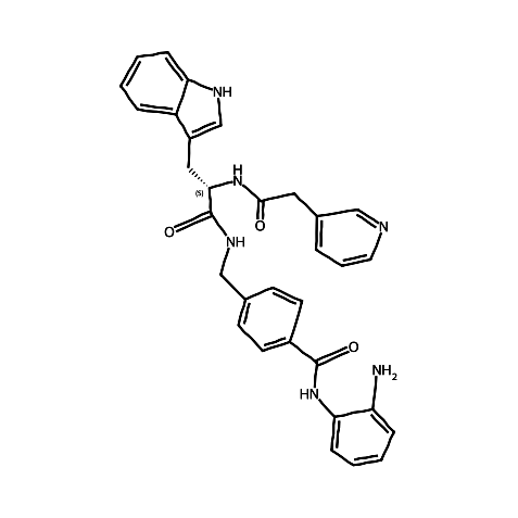 Nc1ccccc1NC(=O)c1ccc(CNC(=O)[C@H](Cc2c[nH]c3ccccc23)NC(=O)Cc2cccnc2)cc1